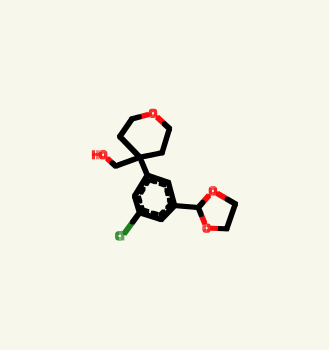 OCC1(c2cc(Cl)cc(C3OCCO3)c2)CCOCC1